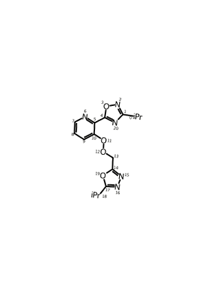 CC(C)c1noc(-c2ncccc2OOCc2nnc(C(C)C)o2)n1